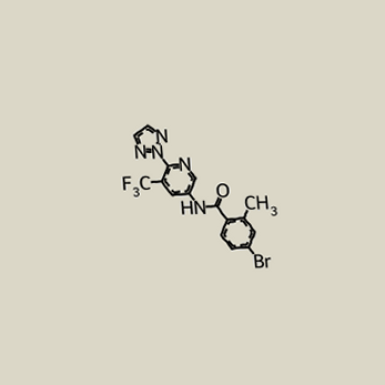 Cc1cc(Br)ccc1C(=O)Nc1cnc(-n2nccn2)c(C(F)(F)F)c1